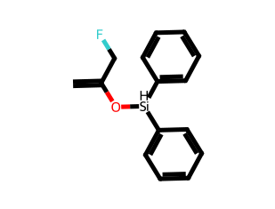 C=C(CF)O[SiH](c1ccccc1)c1ccccc1